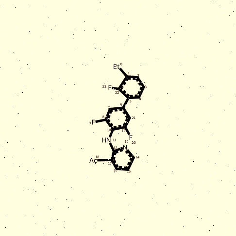 CCc1cccc(-c2cc(F)c(Nc3ncccc3C(C)=O)c(F)c2)c1F